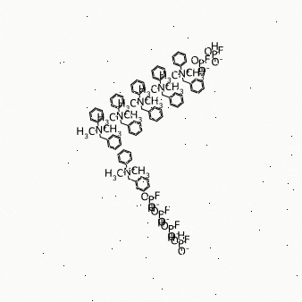 C[N+](C)(Cc1ccccc1)c1ccccc1.C[N+](C)(Cc1ccccc1)c1ccccc1.C[N+](C)(Cc1ccccc1)c1ccccc1.C[N+](C)(Cc1ccccc1)c1ccccc1.C[N+](C)(Cc1ccccc1)c1ccccc1.C[N+](C)(Cc1ccccc1)c1ccccc1.O=[PH]([O-])F.O=[PH]([O-])F.O=[PH]([O-])F.O=[PH]([O-])F.O=[PH]([O-])F.O=[PH]([O-])F